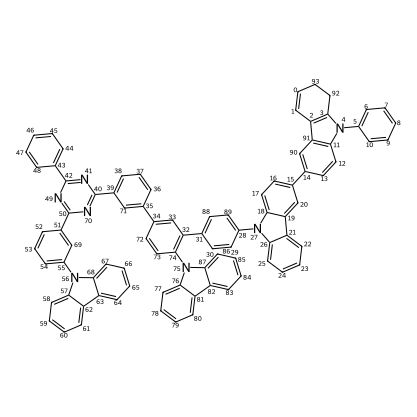 C1=Cc2c(n(-c3ccccc3)c3ccc(-c4ccc5c(c4)c4ccccc4n5-c4ccc(-c5cc(-c6cccc(-c7nc(-c8ccccc8)nc(-c8cccc(-n9c%10ccccc%10c%10ccccc%109)c8)n7)c6)ccc5-n5c6ccccc6c6ccccc65)cc4)cc23)CC1